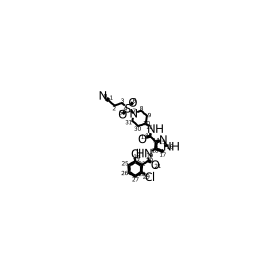 N#CCCS(=O)(=O)N1CCC(NC(=O)c2n[nH]cc2NC(=O)c2c(Cl)cccc2Cl)CC1